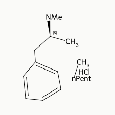 CCCCCC.CN[C@@H](C)Cc1ccccc1.Cl